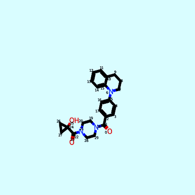 O=C(c1ccc(N2CCCc3ccccc32)cc1)N1CCN(C(=O)C2(O)CC2)CC1